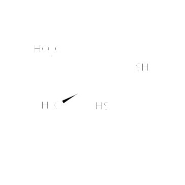 C[C@@H](CC(=O)O)[SH]1C=CC=C1S